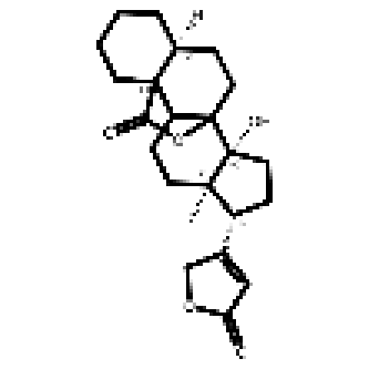 C[C@]12CCC3C4(CC[C@@H]5CCCC[C@]35C(=O)O4)[C@@]1(O)CC[C@@H]2C1=CC(=O)OC1